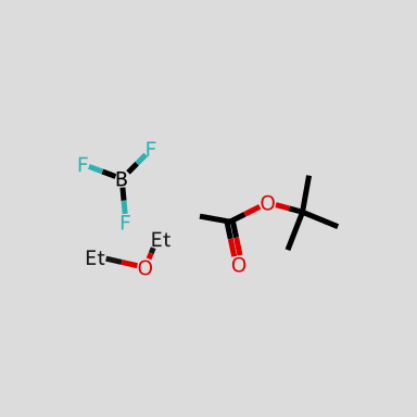 CC(=O)OC(C)(C)C.CCOCC.FB(F)F